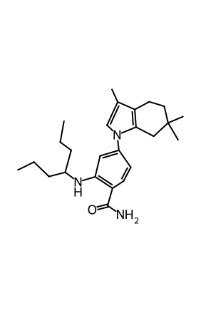 CCCC(CCC)Nc1cc(-n2cc(C)c3c2CC(C)(C)CC3)ccc1C(N)=O